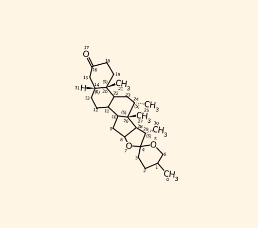 CC1CCC2(OC1)OC1CC3C4CC[C@@H]5CC(=O)CC[C@]5(C)C4C[C@H](C)[C@]3(C)C1[C@@H]2C